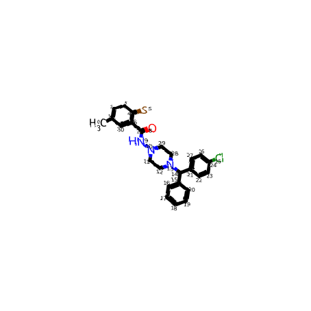 CC1=CCC(=S)C(C(=O)NN2CCN(C(c3ccccc3)c3ccc(Cl)cc3)CC2)=C1